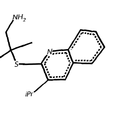 CC(C)c1cc2ccccc2nc1SC(C)(C)CN